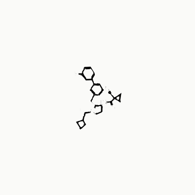 N#CC1(C(=O)N[C@H]2CCN(C(=O)C3CCC3)[C@H]2Cc2cccc(-c3cccc(F)c3)c2)CC1